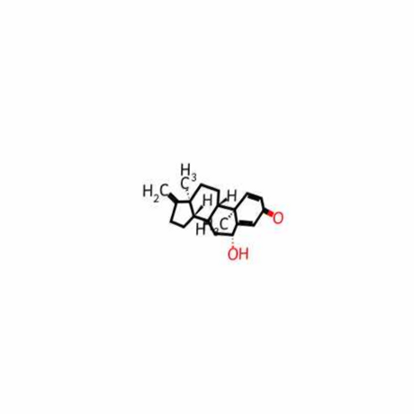 C=C1CC[C@H]2[C@@H]3C[C@@H](O)C4=CC(=O)C=C[C@]4(C)[C@H]3CC[C@]12C